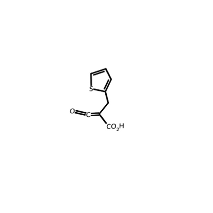 O=C=C(Cc1cccs1)C(=O)O